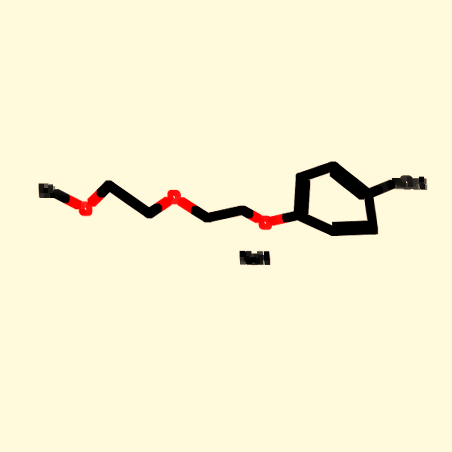 CCCCCCCCc1ccc(OCCOCCOCC)cc1.[NaH]